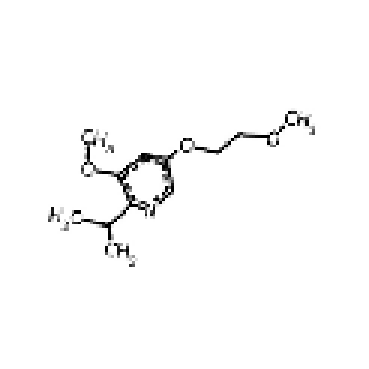 COCCOc1cnc(C(C)C)c(OC)c1